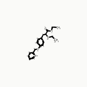 CCOC(=O)C(Cc1ccc(OCc2ccccn2)cc1)OCC